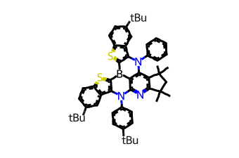 CC(C)(C)c1ccc(N2c3nc4c(c5c3B(c3sc6ccc(C(C)(C)C)cc6c32)c2sc3ccc(C(C)(C)C)cc3c2N5c2ccccc2)C(C)(C)CC4(C)C)cc1